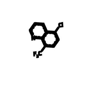 FC(F)(F)c1ccc(Cl)c2cccnc12